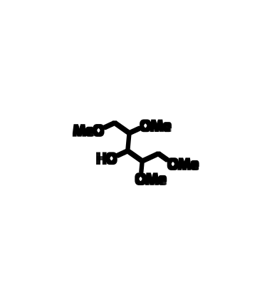 COCC(OC)C(O)C(COC)OC